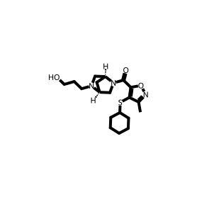 Cc1noc(C(=O)N2C[C@@H]3C[C@H]2CN3CCCO)c1SC1CCCCC1